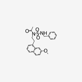 COc1ccc2cccc(CCN(C(C)=O)S(=O)(=O)NCc3ccccc3)c2c1